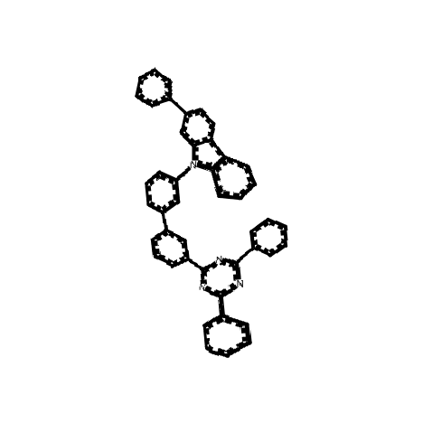 c1ccc(-c2ccc3c4ccccc4n(-c4cccc(-c5cccc(-c6nc(-c7ccccc7)nc(-c7ccccc7)n6)c5)c4)c3c2)cc1